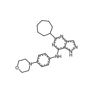 c1cc(N2CCOCC2)ccc1Nc1nc(C2CCCCCC2)nc2cn[nH]c12